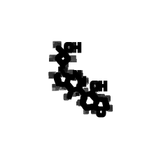 Cc1c(-c2ccc3occc3c2O)nnc2c1ccn2C1CC(C)(O)C1